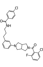 O=C(NCCCc1cccc(N2CC3CN(C(=O)c4c(F)cccc4Cl)CC3C2)c1)c1ccc(Cl)cc1